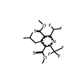 COC(=S)c1c(C(F)F)nc(C(F)(F)F)c(C(=S)OC)c1CC(C)C